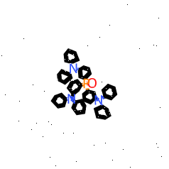 O=P(c1cccc(N(c2ccccc2)c2ccccc2)c1)(c1cccc(N(c2ccccc2)c2ccccc2)c1)c1cccc(N(c2ccccc2)c2ccccc2)c1